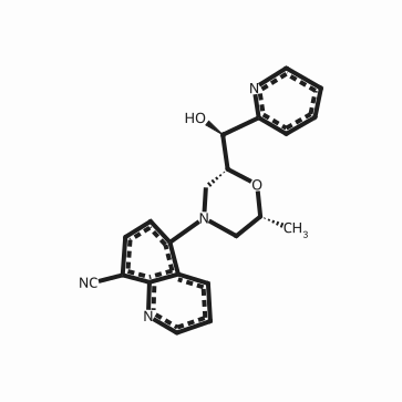 C[C@@H]1CN(c2ccc(C#N)c3ncccc23)C[C@H]([C@@H](O)c2ccccn2)O1